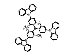 Cc1cc(-n2c3ccccc3c3ccccc32)ccc1B(c1ccc(-n2c3ccccc3c3ccccc32)cc1C)c1c(C)cc(-n2c3ccccc3c3ccccc32)cc1C